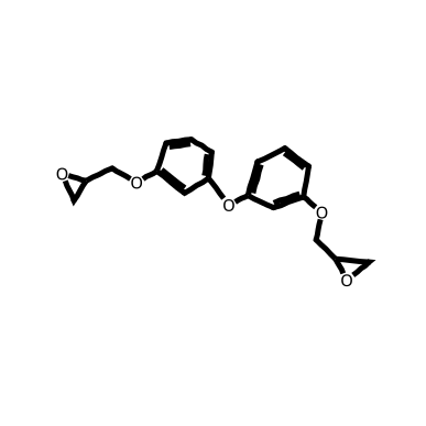 c1cc(OCC2CO2)cc(Oc2cccc(OCC3CO3)c2)c1